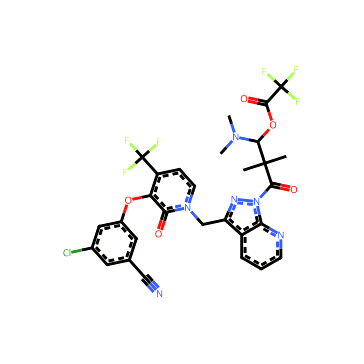 CN(C)C(OC(=O)C(F)(F)F)C(C)(C)C(=O)n1nc(Cn2ccc(C(F)(F)F)c(Oc3cc(Cl)cc(C#N)c3)c2=O)c2cccnc21